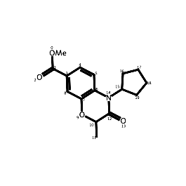 COC(=O)c1ccc2c(c1)OC(C)C(=O)N2C1CCCC1